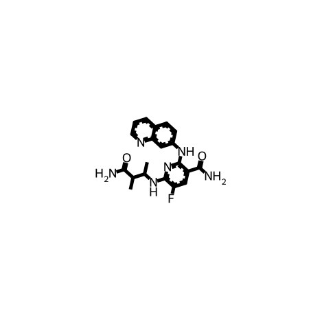 CC(Nc1nc(Nc2ccc3cccnc3c2)c(C(N)=O)cc1F)C(C)C(N)=O